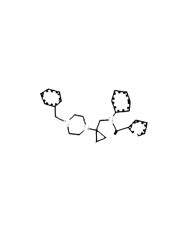 O=C(c1cccs1)N(CC1(N2CCN(Cc3ccccc3)CC2)CC1)c1ccccc1